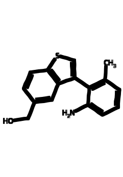 Cc1cccc(N)c1-c1csc2ccc(CO)cc12